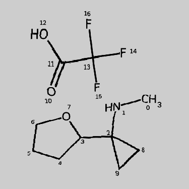 CNC1(C2CCCO2)CC1.O=C(O)C(F)(F)F